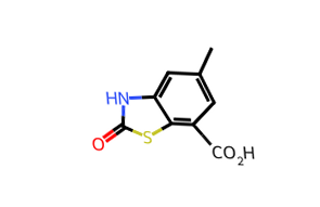 Cc1cc(C(=O)O)c2sc(=O)[nH]c2c1